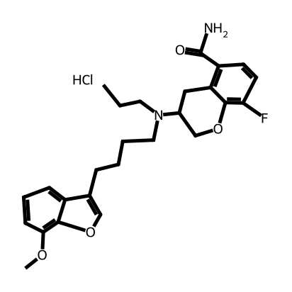 CCCN(CCCCc1coc2c(OC)cccc12)C1COc2c(F)ccc(C(N)=O)c2C1.Cl